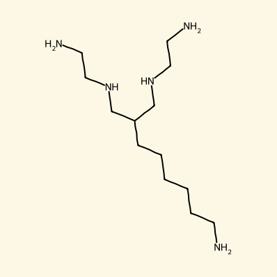 NCCCCCCC(CNCCN)CNCCN